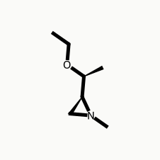 CCO[C@@H](C)[C@@H]1CN1C